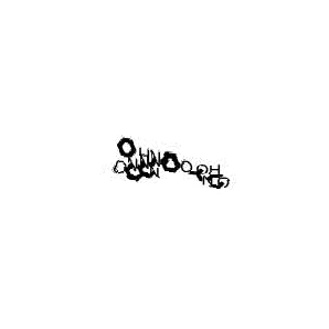 O=c1ccc2cnc(Nc3ccc(OCC(O)CN4CCOCC4)cc3)nc2n1C1CCCCC1